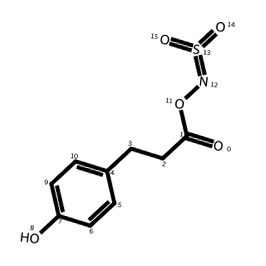 O=C(CCc1ccc(O)cc1)ON=S(=O)=O